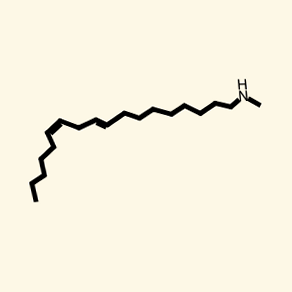 CCCCC/C=C\CC=CCCCCCCCCNC